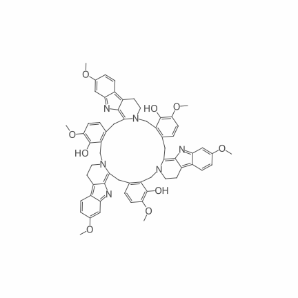 COc1ccc2c(c1)=NC1=C3Cc4ccc(OC)c(O)c4CN4CCC5=c6ccc(OC)cc6=NC5=C4Cc4ccc(OC)c(O)c4CN4CCC5=c6ccc(OC)cc6=NC5=C4Cc4ccc(OC)c(O)c4CN3CCC=21